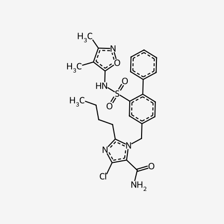 CCCCc1nc(Cl)c(C(N)=O)n1Cc1ccc(-c2ccccc2)c(S(=O)(=O)Nc2onc(C)c2C)c1